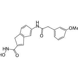 COc1cccc(CC(=O)Nc2ccc3c(c2)C=C(C(=O)NO)C3)c1